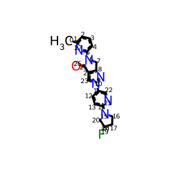 Cc1cccc(N2Cc3nn(-c4ccc(N5CC[C@H](F)C5)nc4)cc3C2=O)n1